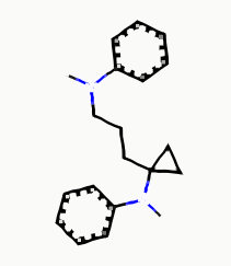 CC(C)(C)N(CCCC1(N(c2ccccc2)C(C)(C)C)CC1)c1ccccc1